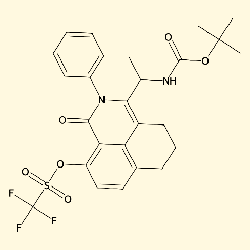 CC(NC(=O)OC(C)(C)C)c1c2c3c(ccc(OS(=O)(=O)C(F)(F)F)c3c(=O)n1-c1ccccc1)CCC2